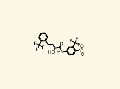 O=C(Nc1ccc([N+](=O)[O-])c(C(F)(F)F)c1)C(O)CCc1ccccc1C(F)(F)F